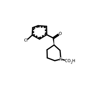 O=C(c1cccc(Cl)c1)[C@@H]1CCCN(C(=O)O)C1